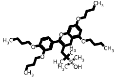 CCCCOc1cc(OCCCC)c2c(c1)OC(c1ccc(OCCCC)c(OCCCC)c1)=C(CC(C)(C)[Si](C)(C)O)C2